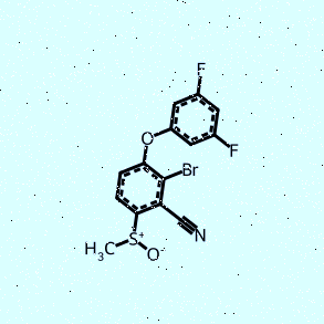 C[S+]([O-])c1ccc(Oc2cc(F)cc(F)c2)c(Br)c1C#N